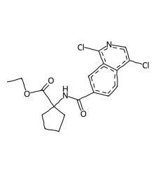 CCOC(=O)C1(NC(=O)c2ccc3c(Cl)cnc(Cl)c3c2)CCCC1